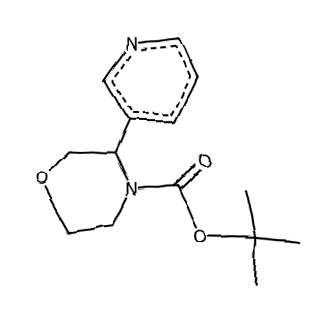 CC(C)(C)OC(=O)N1CCOCC1c1cccnc1